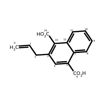 C=CCc1cc(C(=O)O)c2ccccc2c1C(=O)O